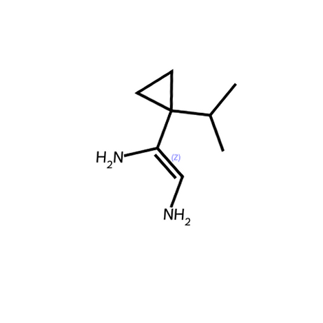 CC(C)C1(/C(N)=C/N)CC1